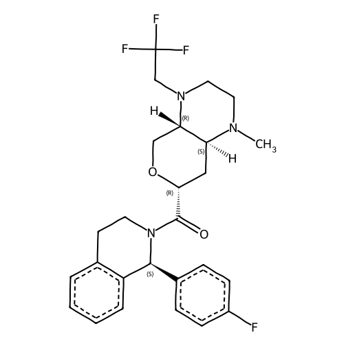 CN1CCN(CC(F)(F)F)[C@H]2CO[C@@H](C(=O)N3CCc4ccccc4[C@@H]3c3ccc(F)cc3)C[C@@H]21